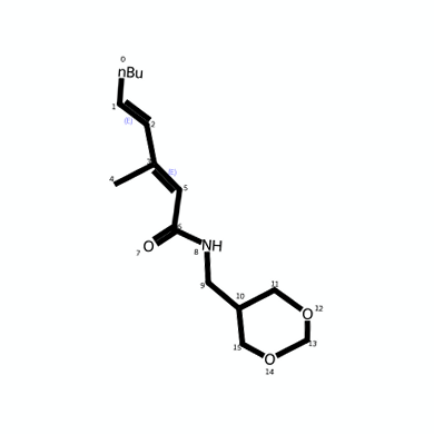 CCCC/C=C/C(C)=C/C(=O)NCC1COCOC1